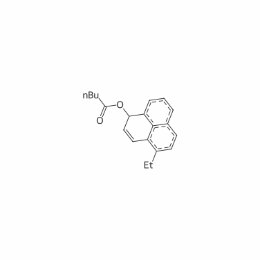 CCCCC(=O)OC1C=Cc2c(CC)ccc3cccc1c23